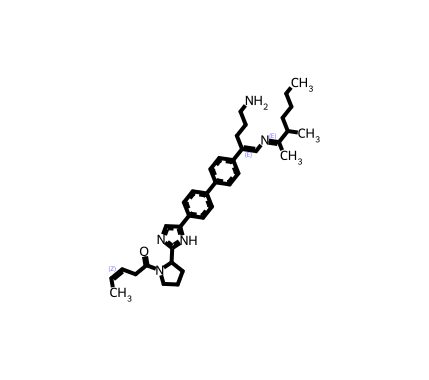 C/C=C\CC(=O)N1CCCC1c1ncc(-c2ccc(-c3ccc(/C(=C/N=C(\C)C(C)CCCC)CCCN)cc3)cc2)[nH]1